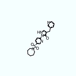 O=c1c(Cc2cccnc2)c[nH]n1-c1ccc(S(=O)(=O)N2CCCCCC2)cn1